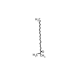 CCCCCCCCCCCCCCCCCCCC(=O)C(C)CC